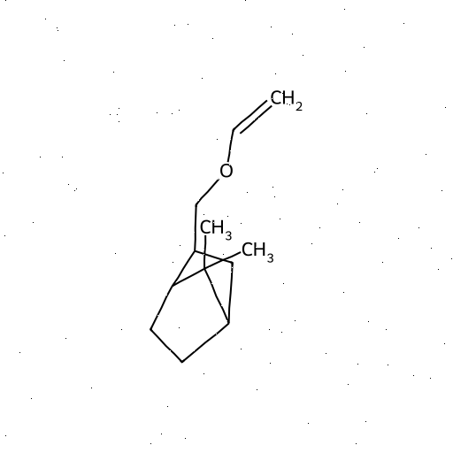 C=COCC1CC2CCC1C2(C)C